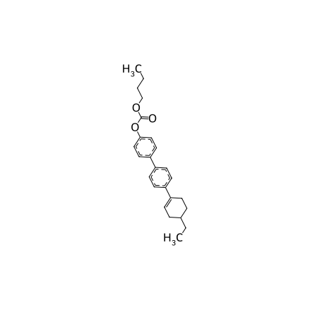 CCCCOC(=O)Oc1ccc(-c2ccc(C3=CCC(CC)CC3)cc2)cc1